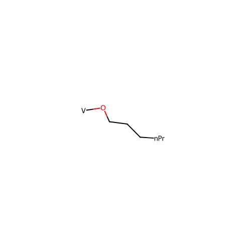 CCCCCC[O][V]